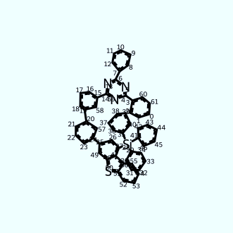 c1ccc(-c2nc(-c3ccccc3)nc(-c3cccc(-c4cccc(-c5cc([Si](c6ccccc6)(c6ccccc6)c6ccccc6)c6c(c5)sc5ccccc56)c4)c3)n2)cc1